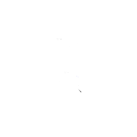 CCN(CCCC(=O)OC)[C@@H](C)c1ccccc1OC